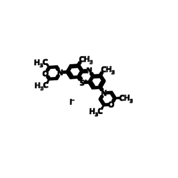 Cc1cc(N2C[C@@H](C)O[C@H](C)C2)cc2[s+]c3cc(N4C[C@@H](C)O[C@@H](C)C4)cc(C)c3nc12.[I-]